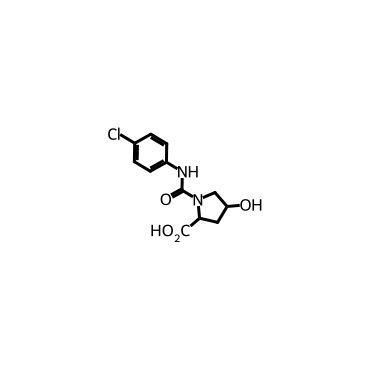 O=C(O)C1CC(O)CN1C(=O)Nc1ccc(Cl)cc1